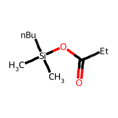 CCCC[Si](C)(C)OC(=O)CC